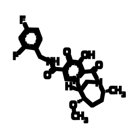 CO[C@H]1CC[C@@H](C)N2C[C@H]1n1cc(C(=O)NCc3ccc(F)cc3F)c(=O)c(O)c1C2=O